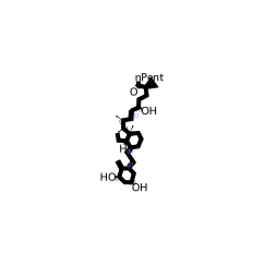 C=C1/C(=C\C=C2/CCC[C@]3(C)[C@@H]([C@H](C)/C=C/[C@H](O)CCC4(C(=O)CCCCC)CC4)CC[C@@H]23)C[C@@H](O)C[C@@H]1O